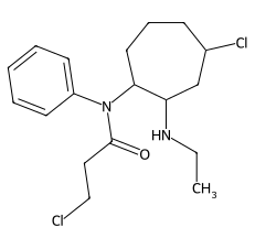 CCNC1CC(Cl)CCCC1N(C(=O)CCCl)c1ccccc1